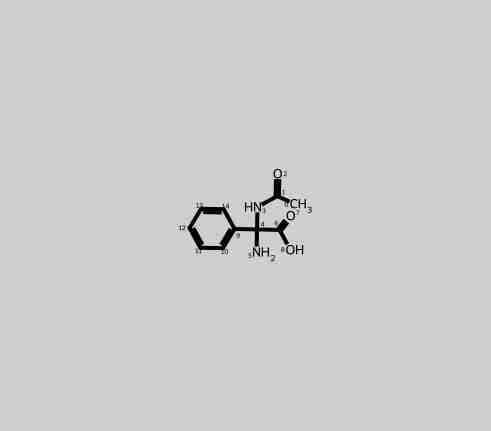 CC(=O)NC(N)(C(=O)O)c1ccccc1